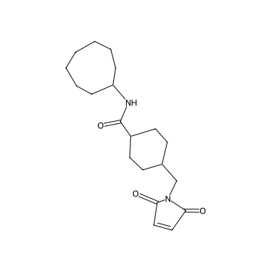 O=C(NC1CCCCCCC1)C1CCC(CN2C(=O)C=CC2=O)CC1